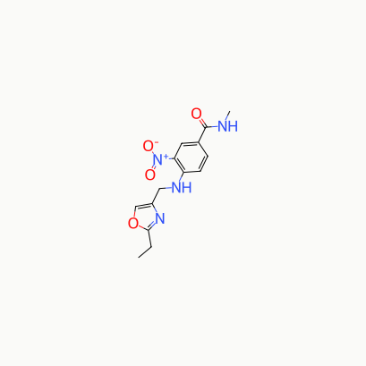 CCc1nc(CNc2ccc(C(=O)NC)cc2[N+](=O)[O-])co1